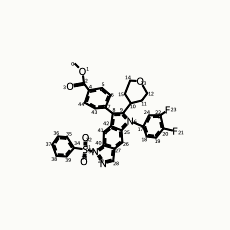 COC(=O)c1ccc(-c2c(C3CCOCC3)n(-c3ccc(F)c(F)c3)c3cc4cnn(S(=O)(=O)c5ccccc5)c4cc23)cc1